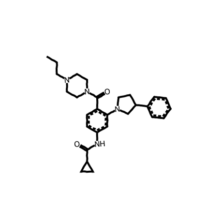 CCCN1CCN(C(=O)c2ccc(NC(=O)C3CC3)cc2N2CCC(c3ccccc3)C2)CC1